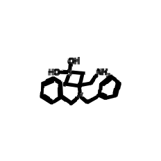 NCC1(N(Cc2ccccc2)Cc2ccccc2)CS(O)(O)C1